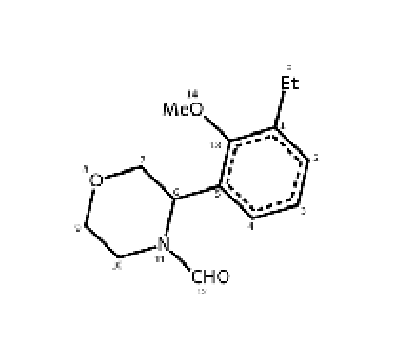 CCc1cccc(C2COCCN2C=O)c1OC